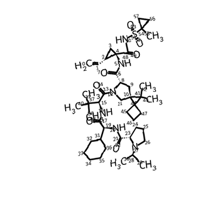 C=C[C@@H]1C[C@]1(NC(=O)[C@@H]1C[C@@]2(CN1C(=O)[C@@H](NC(=O)[C@@H](NC(=O)[C@@H]1CCCN1C(C)C)C1CCCCC1)C(C)(C)C)C(C)(C)C21CCC1)C(=O)NS(=O)(=O)C1(C)CC1